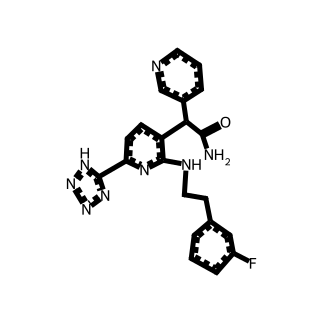 NC(=O)C(c1cccnc1)c1ccc(-c2nnn[nH]2)nc1NCCc1cccc(F)c1